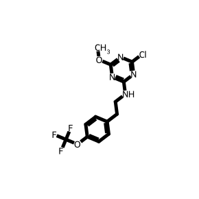 COc1nc(Cl)nc(NCCc2ccc(OC(F)(F)F)cc2)n1